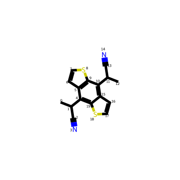 CC(C#N)c1c2ccsc2c(C(C)C#N)c2ccsc12